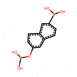 OB(O)Oc1ccc2cc(B(O)O)ccc2c1